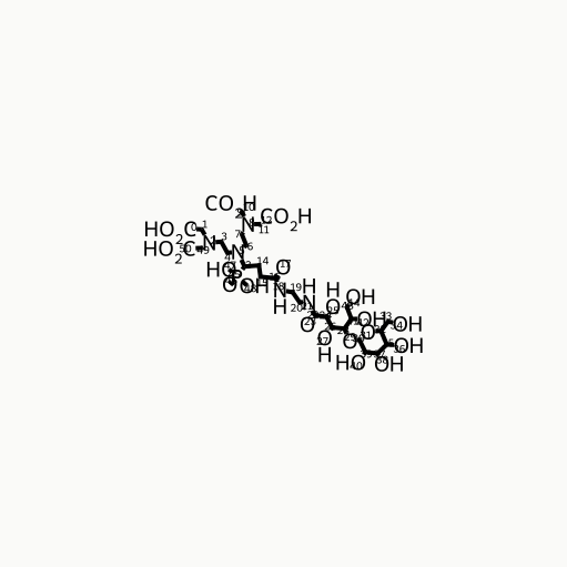 O=C(O)CN(CCN(CCN(CC(=O)O)CC(=O)O)C(CCC(=O)NCCNC(=O)C(O)C(O)C(OC1OC(CO)C(O)C(O)C1O)C(O)CO)P(=O)(O)O)CC(=O)O